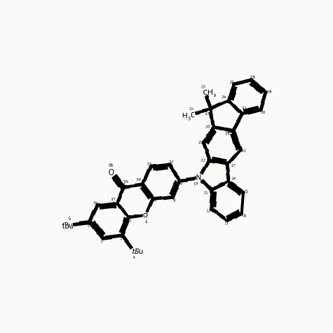 CC(C)(C)c1cc(C(C)(C)C)c2oc3cc(-n4c5ccccc5c5cc6c(cc54)C(C)(C)c4ccccc4-6)ccc3c(=O)c2c1